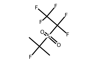 CC(C)(F)S(=O)(=O)C(F)(F)C(F)(F)F